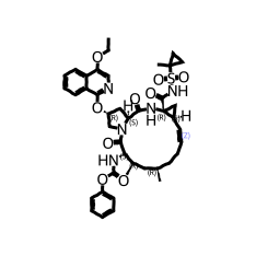 CCOc1cnc(O[C@@H]2C[C@H]3C(=O)N[C@]4(C(=O)NS(=O)(=O)C5(C)CC5)C[C@H]4/C=C\CC[C@@H](C)C[C@@H](C)[C@H](NC(=O)Oc4ccccc4)C(=O)N3C2)c2ccccc12